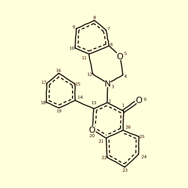 O=c1c(N2COc3ccccc3C2)c(-c2ccccc2)oc2ccccc12